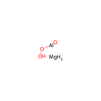 [MgH2].[O]=[Al][O]O